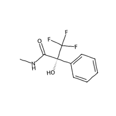 CNC(=O)[C@](O)(c1ccccc1)C(F)(F)F